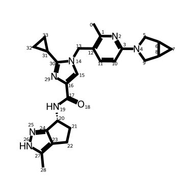 Cc1nc(N2CC3CC3C2)ccc1Cn1cc(C(=O)N[C@@H]2CCc3c2n[nH]c3C)nc1C1CC1